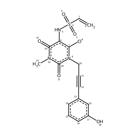 C=CS(=O)(=O)Nc1c(Cl)n(CC#Cc2cccc(O)c2)c(=O)n(C)c1=O